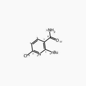 CCCCc1nc(Cl)ccc1C(N)=O